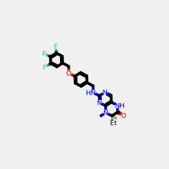 CC[C@H]1C(=O)Nc2cnc(NCc3ccc(OCc4cc(F)c(F)c(F)c4)cc3)nc2N1C